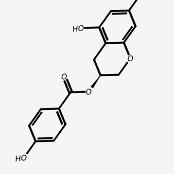 O=C(O[C@@H]1COc2cc(O)cc(O)c2C1)c1ccc(O)cc1